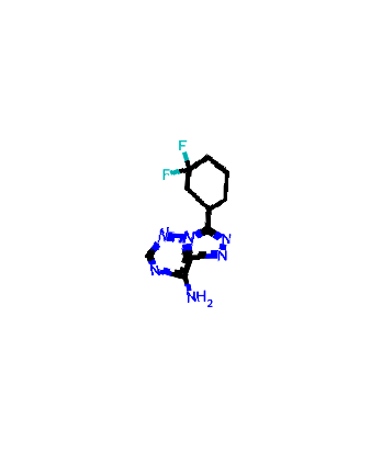 Nc1ncnn2c(C3CCCC(F)(F)C3)nnc12